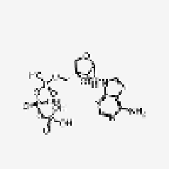 Nc1ncnc2c1ncn2[C@@H]1O[C@@]2(COP(=O)(O)OP(=O)(O)OP(=O)(O)O)COC1[C@H]2O